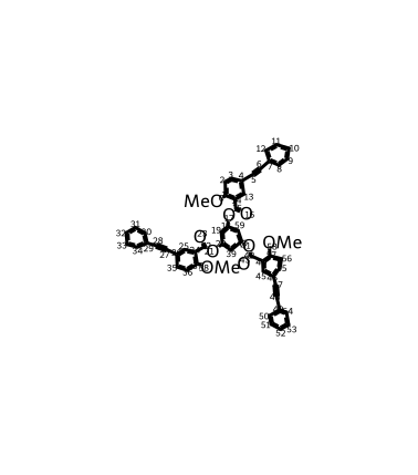 COc1ccc(C#Cc2ccccc2)cc1C(=O)Oc1cc(OC(=O)c2cc(C#Cc3ccccc3)ccc2OC)cc(OC(=O)c2cc(C#Cc3ccccc3)ccc2OC)c1